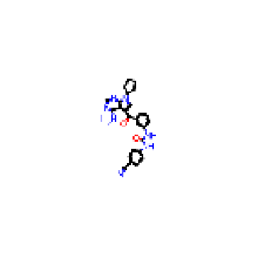 N#Cc1ccc(NC(=O)Nc2cccc(C(=O)c3cn(C4CCCC4)c4ncnc(N)c34)c2)cc1